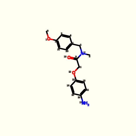 COc1ccc(CN(C)C(=O)COc2ccc(N)cc2)cc1